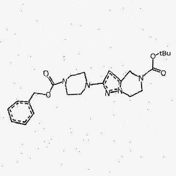 CC(C)(C)OC(=O)N1CCn2nc(N3CCN(C(=O)OCc4ccccc4)CC3)cc2C1